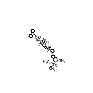 CCCN(CCC)C(=O)C1=Cc2ccc(-c3cccc(S(=O)(=O)N4CC(CNC(=O)[C@H](CS(=O)(=O)O)NC(=O)OCC5c6ccccc6-c6ccccc65)C4)c3)cc2N=C(N)C1